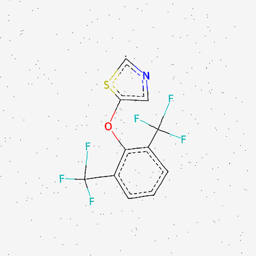 FC(F)(F)c1cccc(C(F)(F)F)c1Oc1cn[c]s1